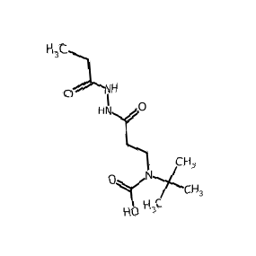 CCC(=O)NNC(=O)CCN(C(=O)O)C(C)(C)C